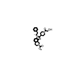 COC(=O)N1CCc2ccc3c(nc(C4CCN(C(=O)CO)CC4)n3[C@H](C)Cc3ccccc3)c2C1